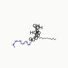 CC/C=C\C/C=C\C/C=C\C/C=C\C/C=C\C/C=C\CCC(=O)OC[C@H](COP(=O)(O)OC[C@@H](O)CO)OC(=O)CCCCCCCCCCCC